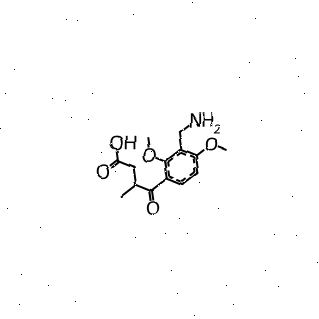 COc1ccc(C(=O)C(C)CC(=O)O)c(OC)c1CN